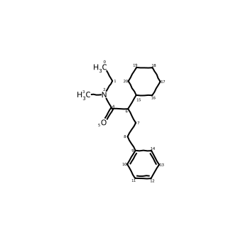 CCN(C)C(=O)C(CCc1ccccc1)C1CCCCC1